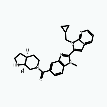 Cn1c(-c2cc3cccnc3n2CC2CC2)nc2cc(C(=O)N3CC[C@@H]4CCN[C@@H]4C3)ccc21